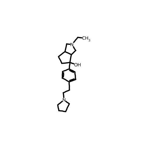 CCN1CC2CCC(O)(c3ccc(CCN4CCCC4)cc3)C2C1